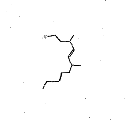 CCCCCC(C)C=CC(C)CCO